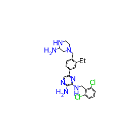 CCc1cc(-c2cnc(N)c(NCc3c(Cl)cccc3Cl)n2)ccc1CN1CCNC(N)C1